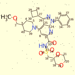 COCC1CCN(c2cc(C(=O)NS(=O)(=O)CC3COCCO3)nc3c2c(C2CCC2)nn3-c2ccccc2)CC1